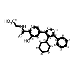 O=C(O)CNC(=O)c1ncc(-c2onc(-c3ccccc3)c2C2CCCCC2)cc1O